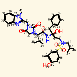 Cc1cc(S(=O)(=O)N(CC[C@@](O)(Cc2ccccc2)NC(=O)[C@H](C(C)C)N2CC(=O)N(Cc3nc4ccccc4n3C)C2=O)CC(C)C)ccc1O